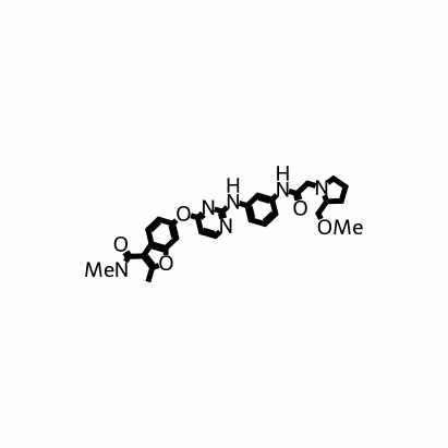 CNC(=O)c1c(C)oc2cc(Oc3ccnc(Nc4cccc(NC(=O)CN5CCCC5COC)c4)n3)ccc12